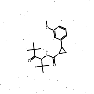 COc1cccc(C2C[C@H]2C(=O)N[C@H](C(=O)C(C)(C)C)C(C)(C)C)c1